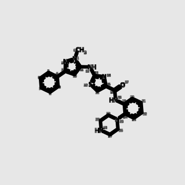 Cn1nc(-c2ccccc2)cc1Nc1nc(C(=O)Nc2ccccc2N2CCNCC2)cs1